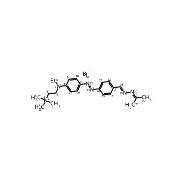 CCN(CC[N+](C)(C)C)c1ccc(/N=N/c2ccc(/C=N/N=C(C)C)cc2)cc1.[Br-]